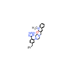 CC(C)Cc1ccc(-c2nn[nH]n2)c(N2CCN(Cc3cc4ccccc4n(C)c3=O)CC2)c1